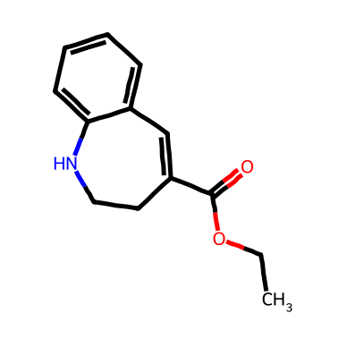 CCOC(=O)C1=Cc2ccccc2NCC1